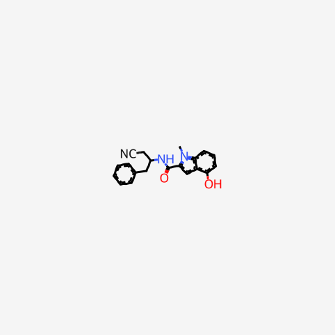 Cn1c(C(=O)NC(CC#N)Cc2ccccc2)cc2c(O)cccc21